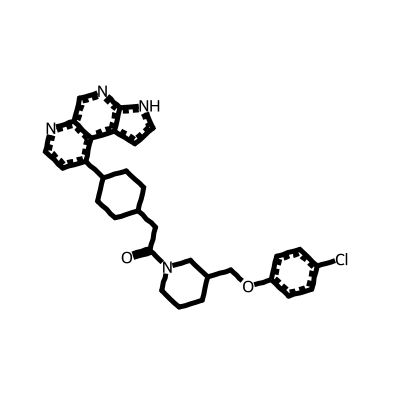 O=C(CC1CCC(c2ccnc3cnc4[nH]ccc4c23)CC1)N1CCCC(COc2ccc(Cl)cc2)C1